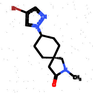 CN1C[C@]2(CC[C@H](n3cc(Br)cn3)CC2)CC1=O